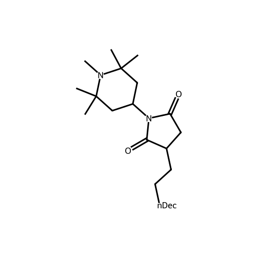 CCCCCCCCCCCCC1CC(=O)N(C2CC(C)(C)N(C)C(C)(C)C2)C1=O